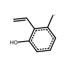 [CH]c1cccc(O)c1C=C